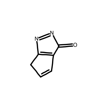 O=C1N=NC2=C1C=CC2